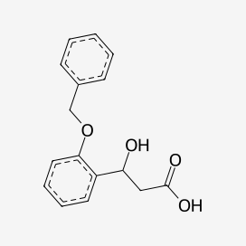 O=C(O)CC(O)c1ccccc1OCc1ccccc1